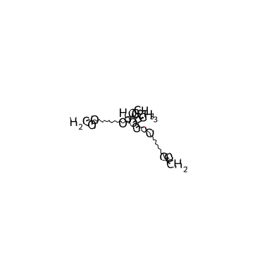 C=CC(=O)OCCCCCCCCCCOc1ccc(C(=O)C2=CC(=O)C(C(C)(C)C)=C(C(=O)c3ccc(OCCCCCCCCCCOC(=O)C=C)cc3)C2=O)cc1